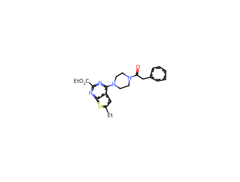 CCOC(=O)c1nc(N2CCN(C(=O)Cc3ccccc3)CC2)c2cc(CC)sc2n1